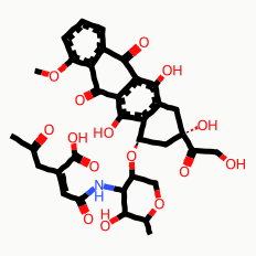 COc1cccc2c1C(=O)c1c(O)c3c(c(O)c1C2=O)C[C@@](O)(C(=O)CO)C[C@@H]3OC1COC(C)C(O)C1NC(=O)/C=C(/CC(C)=O)C(=O)O